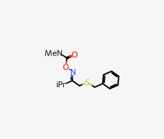 CNC(=O)ON=C(CSCc1ccccc1)C(C)C